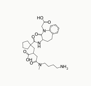 CN(CCCCN)C(=O)CC(CC1(C(=O)NC2CCc3ccccc3N(CC(=O)O)C2=O)CCCC1)C(=O)O